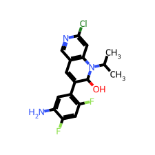 CC(C)N1c2cc(Cl)ncc2C=C(c2cc(N)c(F)cc2F)C1O